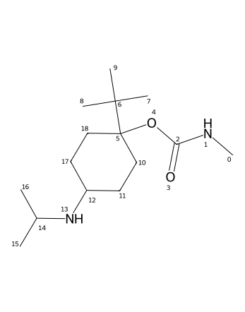 CNC(=O)OC1(C(C)(C)C)CCC(NC(C)C)CC1